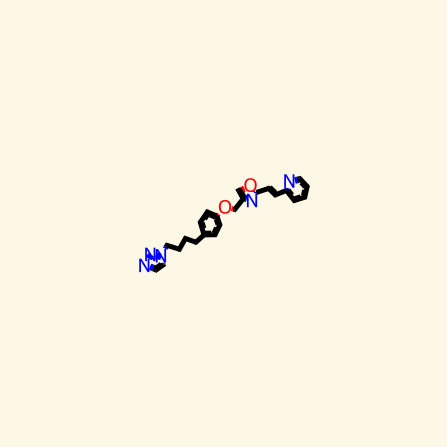 C(=Cc1nc(COc2ccc(CCCCn3ccnn3)cc2)co1)c1ccccn1